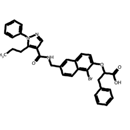 CCCc1c(C(=O)NCc2ccc3c(Br)c(OC(Cc4ccccc4)C(=O)O)ccc3c2)cnn1-c1ccccc1